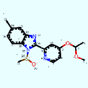 COC(C)Oc1ccnc(-c2nc3cc(C)ccc3n2[S+](C)[O-])c1